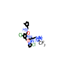 Cc1cccc(CNC(=O)c2cc(Cl)cc(C)c2NC(=O)c2cc(Cn3nnc(C(F)(F)F)n3)nn2-c2ncccc2Cl)c1